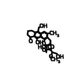 COC(CO)C12OC3c4c(C)cc5c(CO)c6c(c(O)c5c4OC(O)(C3O1)C21CO1)C(=O)CCC6